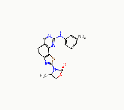 CC1COC(=O)N1c1nc2c(s1)-c1nc(Nc3cccc([N+](=O)[O-])c3)ncc1CC2